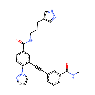 CNC(=O)c1cccc(C#Cc2cc(C(=O)NCCCc3cn[nH]c3)ccc2-n2cccn2)c1